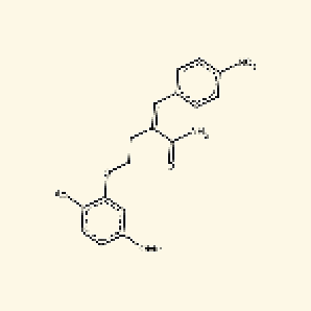 COc1ccc(C(C)=O)c(OCCC(=Cc2ccc([N+](=O)[O-])cc2)C(N)=O)c1